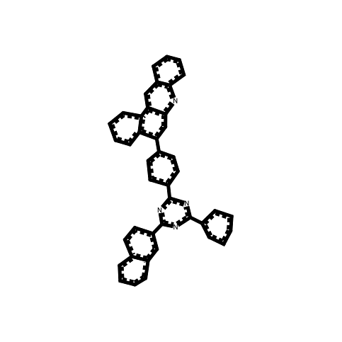 c1ccc(-c2nc(-c3ccc(-c4cc5nc6ccccc6cc5c5ccccc45)cc3)nc(-c3ccc4ccccc4c3)n2)cc1